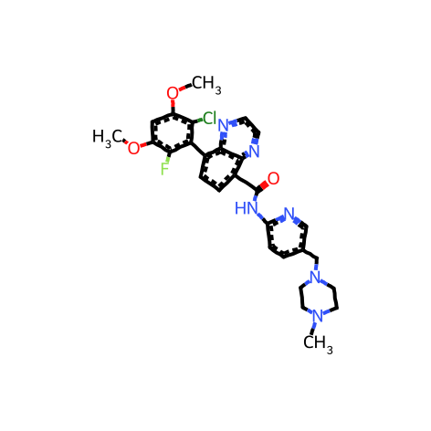 COc1cc(OC)c(Cl)c(-c2ccc(C(=O)Nc3ccc(CN4CCN(C)CC4)cn3)c3nccnc23)c1F